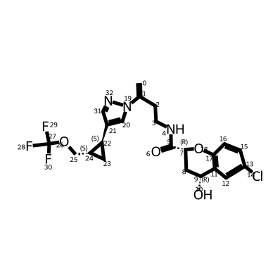 C=C(CCNC(=O)[C@H]1C[C@@H](O)c2cc(Cl)ccc2O1)n1cc([C@H]2C[C@@H]2COC(F)(F)F)cn1